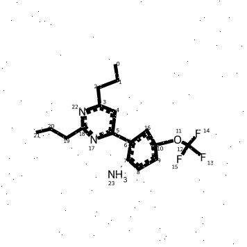 CCCc1cc(-c2cccc(OC(F)(F)F)c2)nc(CCC)n1.N